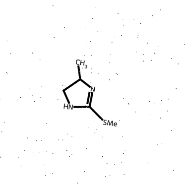 CSC1=NC(C)CN1